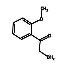 BCC(=O)c1ccccc1OC